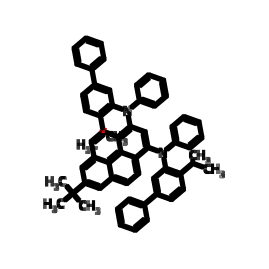 CC(C)c1ccc(-c2ccccc2)cc1N(c1ccccc1)c1cc(N(c2ccccc2)c2cc(-c3ccccc3)ccc2C(C)C)c2ccc3cc(C(C)(C)C)cc4ccc1c2c43